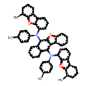 CC(C)(C)c1cccc2c1oc1c(N(c3ccc(C#N)cc3)c3c4ccccc4c(N(c4ccc(C#N)cc4)c4cccc5c4oc4c(C(C)(C)C)cccc45)c4c3oc3ccccc34)cccc12